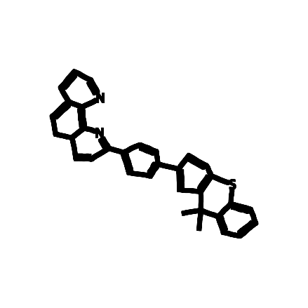 CC1(C)c2ccccc2Sc2ccc(-c3ccc(C4=NC5=c6ncccc6=CCC5C=C4)cc3)cc21